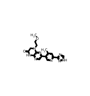 COCCN1CC(=O)Nc2ncc(-c3cnc(-c4nc[nH]n4)cc3C)nc21